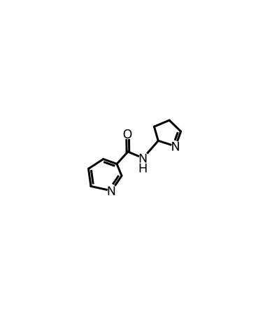 O=C(NC1CCC=N1)c1cccnc1